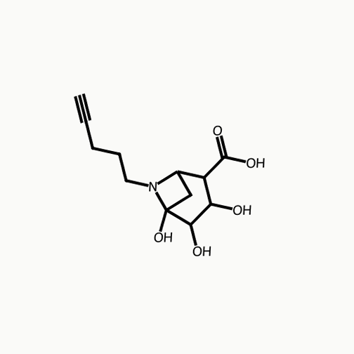 C#CCCCN1C2CC1(O)C(O)C(O)C2C(=O)O